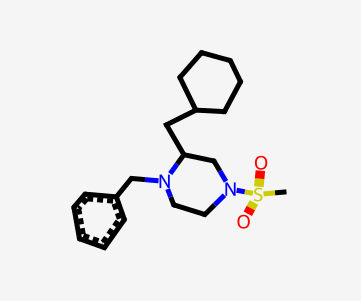 CS(=O)(=O)N1CCN(Cc2ccccc2)C(CC2CCCCC2)C1